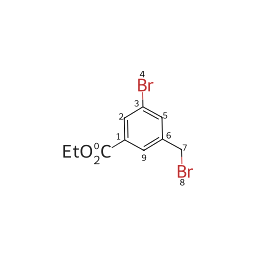 CCOC(=O)c1cc(Br)cc(CBr)c1